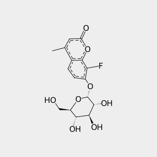 Cc1cc(=O)oc2c(F)c(O[C@H]3O[C@H](CO)[C@@H](O)[C@H](O)[C@H]3O)ccc12